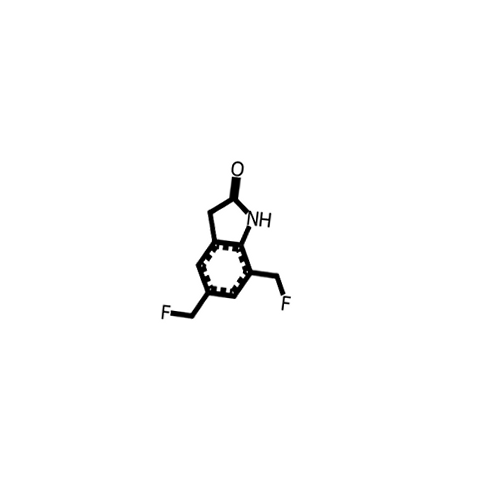 O=C1Cc2cc(CF)cc(CF)c2N1